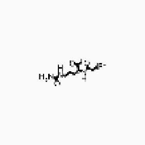 CC(C)CC(=O)N[C@@H](CCCNC(N)=O)C(=O)I